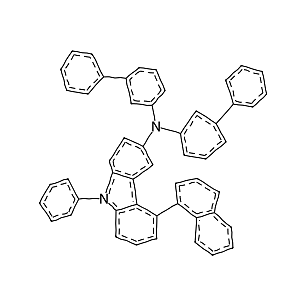 c1ccc(-c2cccc(N(c3cccc(-c4ccccc4)c3)c3ccc4c(c3)c3c(-c5cccc6ccccc56)cccc3n4-c3ccccc3)c2)cc1